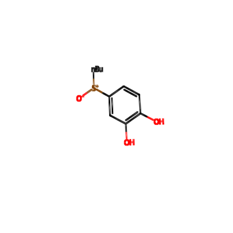 CCCC[S+]([O-])c1ccc(O)c(O)c1